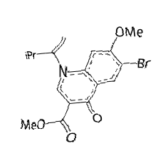 C=C(C(C)C)n1cc(C(=O)OC)c(=O)c2cc(Br)c(OC)cc21